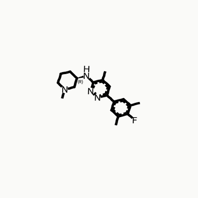 Cc1cc(-c2cc(C)c(F)c(C)c2)nnc1N[C@@H]1CCCN(C)C1